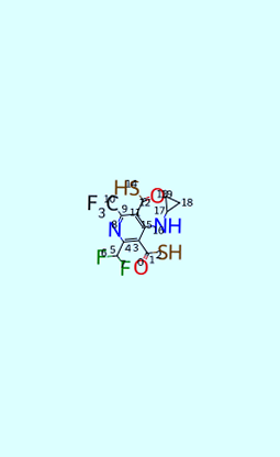 O=C(S)c1c(C(F)F)nc(C(F)(F)F)c(C(=O)S)c1NC1CC1